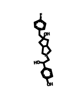 Oc1ccc(C(O)CN2CC3CC(O)(Cc4ccc(F)cc4)CC3C2)cc1